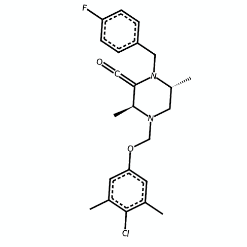 Cc1cc(OCN2C[C@@H](C)N(Cc3ccc(F)cc3)C(=C=O)[C@@H]2C)cc(C)c1Cl